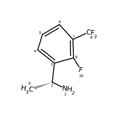 C[C@@H](N)c1cccc(C(F)(F)F)c1F